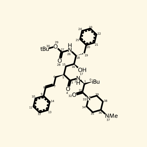 CC[C@H](C)[C@H](NC(=O)[C@@H](CC=Cc1ccccc1)C[C@H](O)[C@@H](Cc1ccccc1)NC(=O)OC(C)(C)C)C(=O)N1CCC(NC)CC1